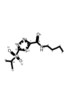 CCCCNC(=O)c1nnc(S(=O)(=O)C(C)C)s1